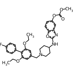 CCOc1cc(CN2CCC(Nc3nc4cc(OC(=O)OC)ccc4o3)CC2)cc(OCC)c1-c1ccc(F)cc1